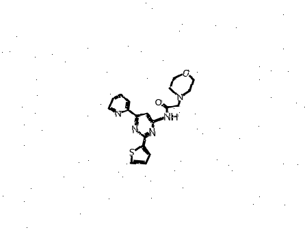 O=C(CN1CCOCC1)Nc1cc(-c2ccccn2)nc(-c2cccs2)n1